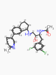 CC(=O)NC(Cc1cc(F)cc(F)c1)C(O)CNC1CCCc2ccc(-c3ccc(C)nc3)cc21